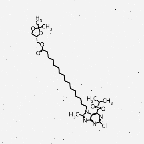 Cc1nc2nc(Cl)nc(S(=O)(=O)C(C)C)c2n1CCCCCCCCCCCCCCCC(=O)OC[C@@H]1COC(C)(C)O1